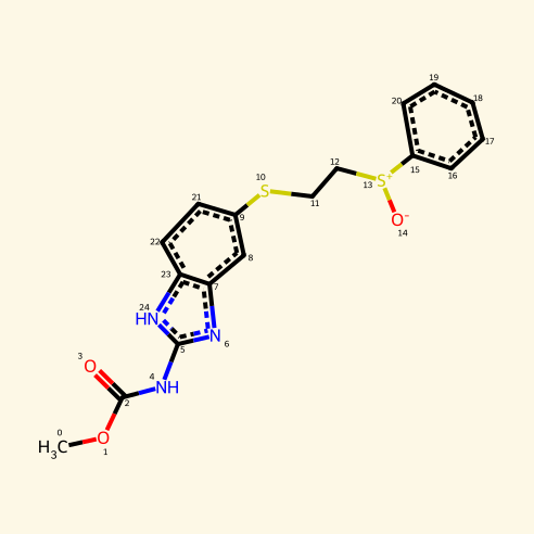 COC(=O)Nc1nc2cc(SCC[S+]([O-])c3ccccc3)ccc2[nH]1